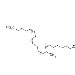 CC(/C=C\C/C=C\C/C=C\CCCC(=O)O)/C=C\CCCCCC#N